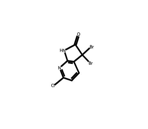 O=C1Nc2nc(Cl)ccc2C1(Br)Br